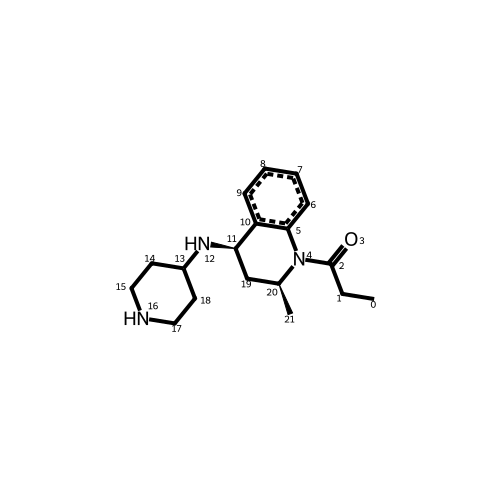 CCC(=O)N1c2ccccc2[C@H](NC2CCNCC2)C[C@@H]1C